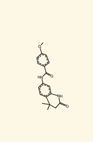 COc1ccc(C(=O)Nc2ccc3c(c2)NC(=O)CC3(C)C)cc1